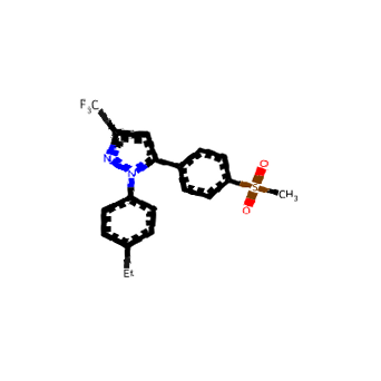 CCc1ccc(-n2nc(C(F)(F)F)cc2-c2ccc(S(C)(=O)=O)cc2)cc1